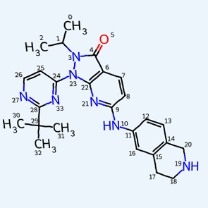 CC(C)n1c(=O)c2ccc(Nc3ccc4c(c3)CCNC4)nc2n1-c1ccnc(C(C)(C)C)n1